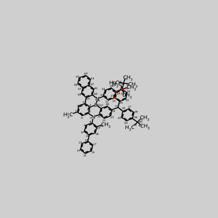 Cc1cc2c3c(c1)N(c1ccc(-c4ccccc4)cc1C)c1ccc(C(c4ccc(C(C)(C)C)cc4)c4ccc(C(C)(C)C)cc4)cc1B3N(c1ccc(C(C)(C)C)cc1)c1cc3ccccc3cc1-2